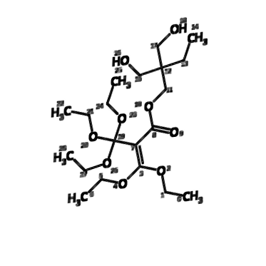 CCOC(OCC)=C(C(=O)OCC(CC)(CO)CO)C(OCC)(OCC)OCC